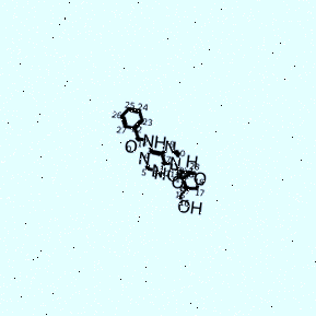 O=C(Nc1ncnc2c1ncn2[C@@H]1O[C@@]2(CO)CO[C@H]1C2O)c1ccccc1